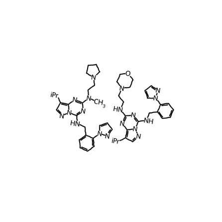 CC(C)c1cnn2c(NCc3ccccc3-n3cccn3)nc(N(C)CCN3CCCC3)nc12.CC(C)c1cnn2c(NCc3ccccc3-n3cccn3)nc(NCCN3CCOCC3)nc12